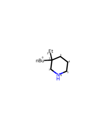 CCCCC1(CC)CCCNC1